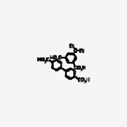 CCOCC.O=C(O)c1ccc(-c2ccc(C(=O)O)cc2)cc1.O=C(O)c1cccc(C(=O)O)c1